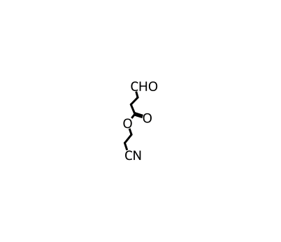 N#CCCOC(=O)CCC=O